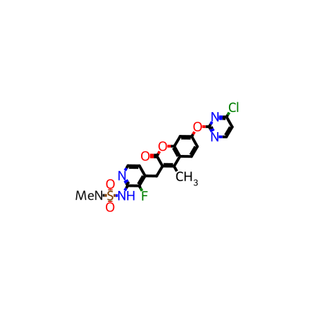 CNS(=O)(=O)Nc1nccc(Cc2c(C)c3ccc(Oc4nccc(Cl)n4)cc3oc2=O)c1F